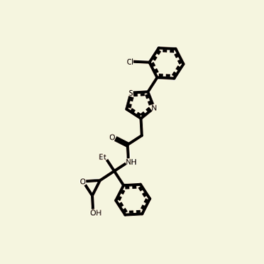 CCC(NC(=O)Cc1csc(-c2ccccc2Cl)n1)(c1ccccc1)C1OC1O